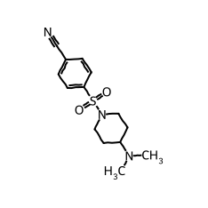 CN(C)C1CCN(S(=O)(=O)c2ccc(C#N)cc2)CC1